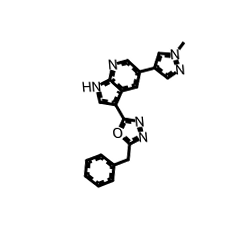 Cn1cc(-c2cnc3[nH]cc(-c4nnc(Cc5ccccc5)o4)c3c2)cn1